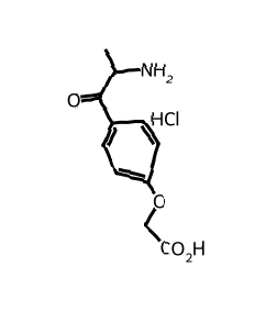 CC(N)C(=O)c1ccc(OCC(=O)O)cc1.Cl